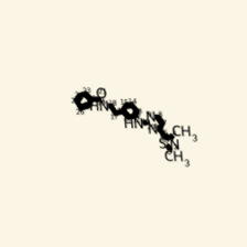 Cc1nc(C)c(-c2ccnc(Nc3cccc(CCNC(=O)c4ccccc4)c3)n2)s1